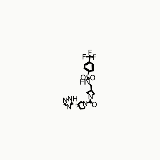 O=C(N1CC(CNS(=O)(=O)c2ccc(C(F)(F)F)cc2)C1)N1CC[C@H](c2ncn[nH]2)C1